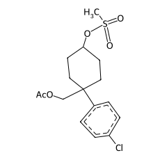 CC(=O)OCC1(c2ccc(Cl)cc2)CCC(OS(C)(=O)=O)CC1